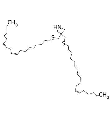 CCCCC/C=C\C/C=C\CCCCCCCCSCC1(CSCCCCCCCC/C=C\C/C=C\CCCCC)CNC1